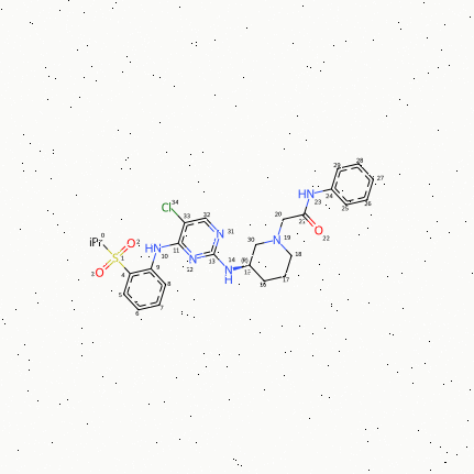 CC(C)S(=O)(=O)c1ccccc1Nc1nc(N[C@@H]2CCCN(CC(=O)Nc3cc[c]cc3)C2)ncc1Cl